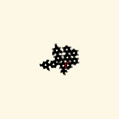 Cc1cc(C)c(-c2ccc3c(c2)c2cc(-c4c(C)cc(C)cc4C)cc4c2n3-c2cc(C(C)(C)C)cc3c2B4c2cc(-c4ccccc4-c4ccccc4)cc(-c4ccccc4-c4ccccc4)c2O3)c(C)c1